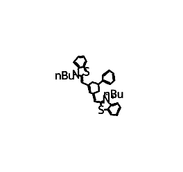 CCCCN1/C(=C/C2=CC(=C/c3sc4ccccc4[n+]3CCCC)/CC(c3ccccc3)C2)Sc2ccccc21